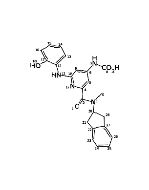 CN(C(=O)c1cc(NC(=O)O)cc(Nc2ccccc2O)n1)C1Cc2ccccc2C1